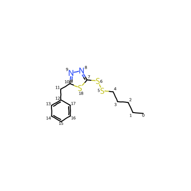 CCCCCSSc1nnc(Cc2ccccc2)s1